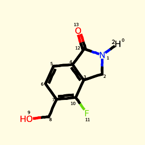 [2H]N1Cc2c(ccc(CO)c2F)C1=O